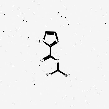 CC(C)C(C#N)OC(=O)c1ncc[nH]1